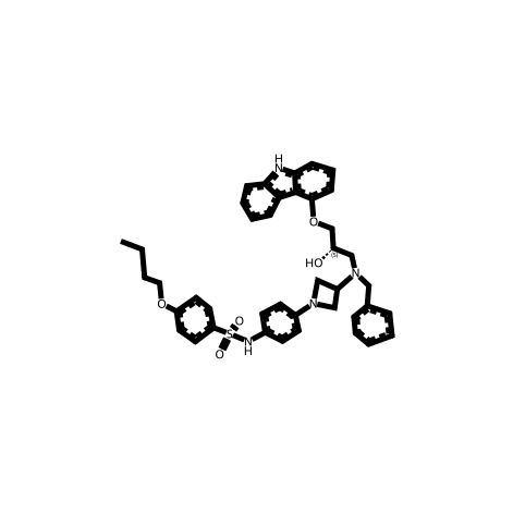 CCCCOc1ccc(S(=O)(=O)Nc2ccc(N3CC(N(Cc4ccccc4)C[C@H](O)COc4cccc5[nH]c6ccccc6c45)C3)cc2)cc1